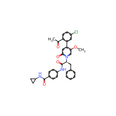 COc1cn([C@@H](Cc2ccccc2)C(=O)Nc2ccc(C(=O)NC3CC3)cc2)c(=O)cc1-c1cc(Cl)ccc1C(C)=O